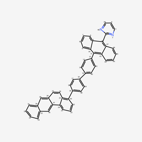 c1cnc(-c2c3ccccc3c(-c3ccc(-c4ccc(-c5cccc6c5ccc5cc7ccccc7cc56)cc4)cc3)c3ccccc23)nc1